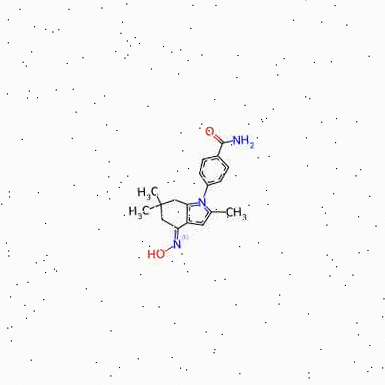 Cc1cc2c(n1-c1ccc(C(N)=O)cc1)CC(C)(C)C/C2=N\O